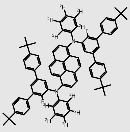 [2H]c1c([2H])c([2H])c(N(c2cc(-c3ccc(C(C)(C)C)cc3)cc(-c3ccc(C(C)(C)C)cc3)c2F)c2ccc3ccc4c(N(c5cc(-c6ccc(C(C)(C)C)cc6)cc(-c6ccc(C(C)(C)C)cc6)c5F)c5c([2H])c([2H])c([2H])c([2H])c5[2H])ccc5ccc2c3c54)c([2H])c1[2H]